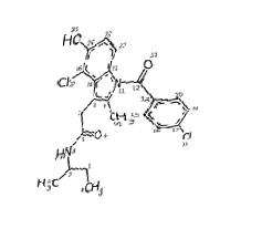 CCC(C)NC(=O)Cc1c(C)n(C(=O)c2ccc(Cl)cc2)c2ccc(O)c(Cl)c12